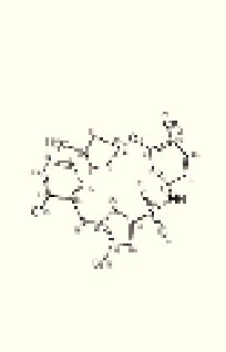 CN1CC[C@@H](Oc2cc(NS(=O)(=O)c3cc(Br)c(Sc4ccccc4Cl)s3)ccc2C(F)(F)F)C1